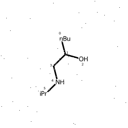 [CH2]CCCC(O)CNC(C)C